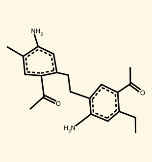 CCc1cc(N)c(CCc2cc(N)c(C)cc2C(C)=O)cc1C(C)=O